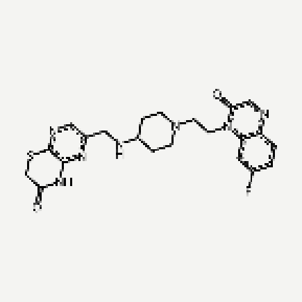 O=C1CSc2ncc(CNC3CCN(CCn4c(=O)cnc5ccc(F)cc54)CC3)nc2N1